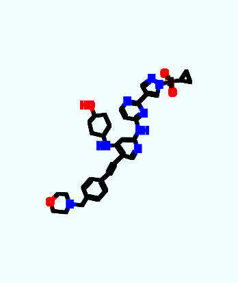 O=S(=O)(C1CC1)n1cc(-c2nccc(Nc3cc(NC4CCC(O)CC4)c(C#Cc4ccc(CN5CCOCC5)cc4)cn3)n2)cn1